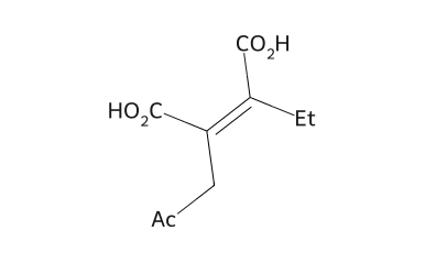 CCC(C(=O)O)=C(CC(C)=O)C(=O)O